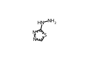 NNc1nncs1